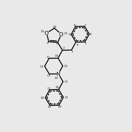 C1=C(C(Cc2ccccc2)C2CCCN(Cc3ccccc3)C2)OCO1